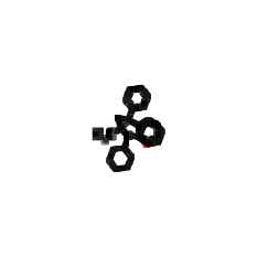 CC1(P(C2CCCCC2)C2CCCCC2)CC1(c1ccccc1)c1ccccc1